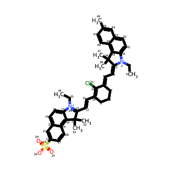 CCN1/C(=C/C=C2\CCCC(/C=C/C3=[N+](CC)c4ccc5cc(S(=O)(=O)[O-])ccc5c4C3(C)C)=C2Cl)C(C)(C)c2c1ccc1cc(C)ccc21